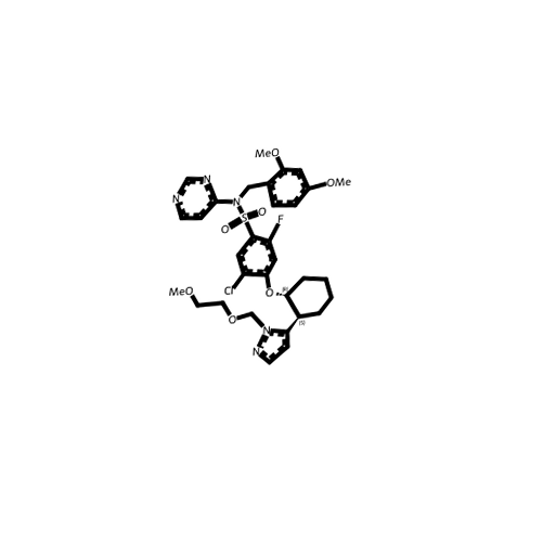 COCCOCn1nccc1[C@@H]1CCCC[C@H]1Oc1cc(F)c(S(=O)(=O)N(Cc2ccc(OC)cc2OC)c2ccncn2)cc1Cl